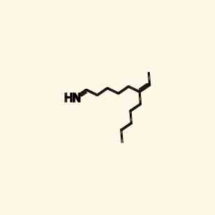 CC=C(CCCCC)CCCCC=N